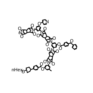 CCCCCCOC1CCC(c2ccc(C(=O)Oc3cc(C)cc(N4C(=O)C5CC(C4=O)C4C6CC(C(=O)N(c7cc(OC(=O)c8ccc(C(=O)c9ccccc9)cc8)cc(N8C(=O)C9CC(C8=O)C8C%10CC(C(=O)N(c%11cc(Oc%12ccncc%12)cc(N%12C(=O)C%13CC(C%12=O)C%12C%14CC(C(=O)N(C)C%14=O)C%13%12)c%11)C%10=O)C98)c7)C6=O)C54)c3)cc2)CC1